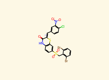 O=C1Nc2ccc(S(=O)(=O)Cc3c(Br)cccc3Br)cc2S/C1=C\c1ccc(Cl)c([N+](=O)[O-])c1